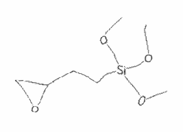 CO[Si](CCC1CO1)(OC)OC